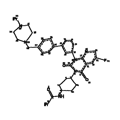 CC(C)C(=O)NC1CCC(n2c(=O)c3cc(F)cnc3n(-c3cccc(-c4ccc(CN5CCN(C(C)C)CC5)cc4)c3)c2=O)CC1